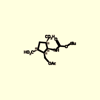 CC(=O)OC[C@@H]1[C@H](NC(=O)OC(C)(C)C)[C@@H](C(=O)O)C[C@H]1C(=O)O